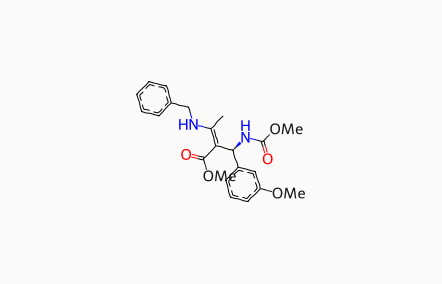 COC(=O)N[C@H](/C(C(=O)OC)=C(\C)NCc1ccccc1)c1cccc(OC)c1